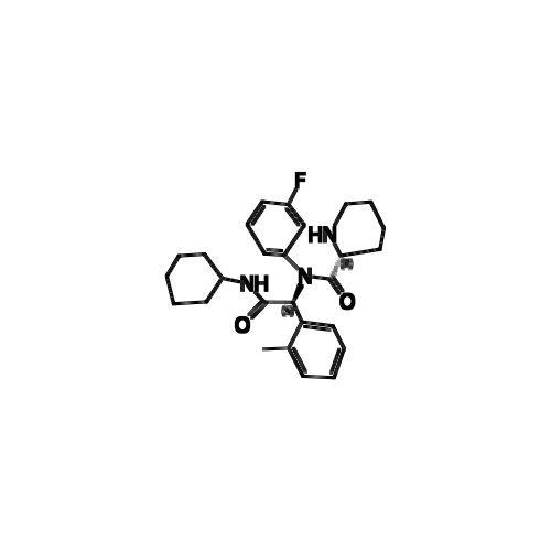 Cc1ccccc1[C@@H](C(=O)NC1CCCCC1)N(C(=O)[C@H]1CCCCN1)c1cccc(F)c1